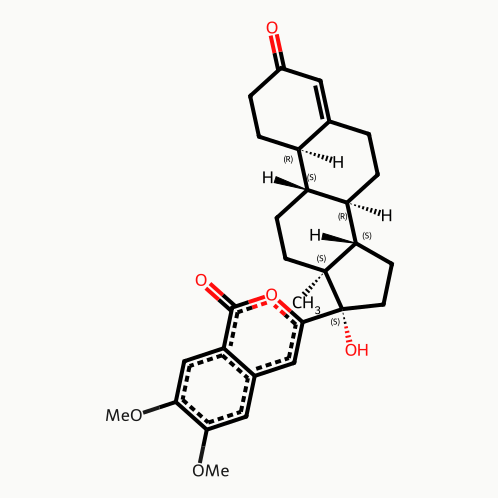 COc1cc2cc([C@]3(O)CC[C@H]4[C@@H]5CCC6=CC(=O)CC[C@@H]6[C@H]5CC[C@@]43C)oc(=O)c2cc1OC